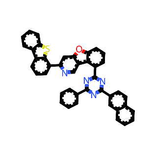 c1ccc(-c2nc(-c3ccc4ccccc4c3)nc(-c3cccc4oc5cc(-c6cccc7c6sc6ccccc67)ncc5c34)n2)cc1